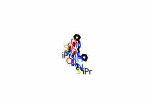 CC(C)c1nc(CN(C)C(=O)NC(C(=O)N(CCCN(Cc2ccccc2)C(=O)COc2cncs2)Cc2ccccc2)C(C)C)cs1